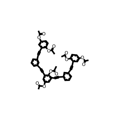 CC(=O)Oc1ccc(OC(C)=O)c(C#Cc2cccc(C#Cc3cc(OC(C)=O)cc(C#Cc4cccc(C#Cc5cc(OC(C)=O)ccc5OC(C)=O)c4)c3OC(C)=O)c2)c1